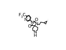 O=C1N(c2ccc(C(F)(F)F)nc2)C(=O)C2(CCNCC2)N1CCC1CC1